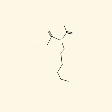 CCCCCCCC(=O)N(CCCC[C@H](N)C(=O)O)C(=O)CCCCCCC